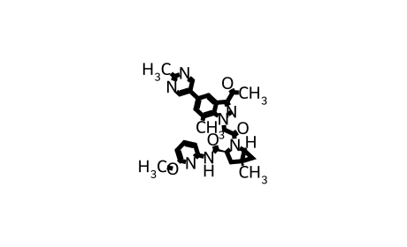 COc1cccc(NC(=O)[C@@H]2C[C@@]3(C)C[C@H]3N2C(=O)Cn2nc(C(C)=O)c3cc(-c4cnc(C)nc4)cc(C)c32)n1